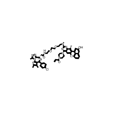 C=CC(=O)N1CCN(c2nc(N(C)CCOCCOCCNC(=O)C[C@@H]3N=C(c4ccc(Cl)cc4)c4c(sc(C)c4C)-n4c(C)nnc43)nc3c(F)c(-c4cc(O)cc5ccccc45)c(Cl)cc23)CC1